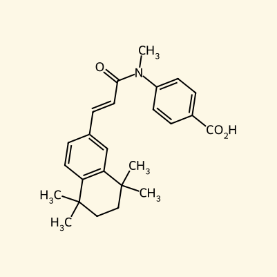 CN(C(=O)C=Cc1ccc2c(c1)C(C)(C)CCC2(C)C)c1ccc(C(=O)O)cc1